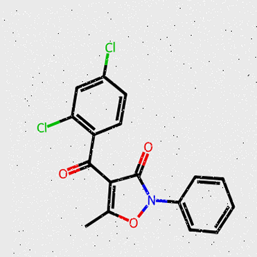 Cc1on(-c2ccccc2)c(=O)c1C(=O)c1ccc(Cl)cc1Cl